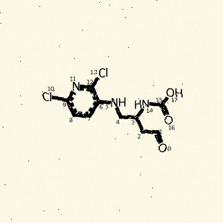 O=CCC(CNc1ccc(Cl)nc1Cl)NC(=O)O